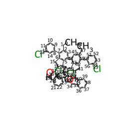 CCc1ccc2c(c1-c1cccc(Cl)c1)C=C(c1occ3ccccc13)[CH]2[Zr]([Cl])([Cl])([CH]1C(c2occ3ccccc23)=Cc2c1ccc(CC)c2-c1cccc(Cl)c1)=[Si](C)C